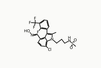 Cc1c(-c2cccc(C(F)(F)F)c2F)c2c(C=NO)ccc(Cl)c2n1CCCNS(C)(=O)=O